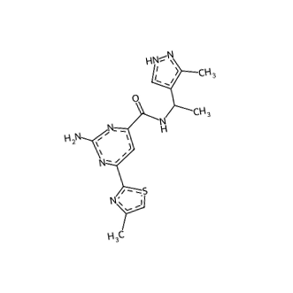 Cc1csc(-c2cc(C(=O)NC(C)c3c[nH]nc3C)nc(N)n2)n1